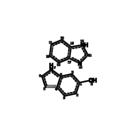 Oc1ccc2cc[nH]c2c1.c1ccc2[nH]cnc2c1